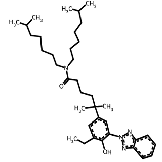 CCc1cc(C(C)(C)CCCC(=O)N(CCCCCC(C)C)CCCCCC(C)C)cc(-n2nc3ccccc3n2)c1O